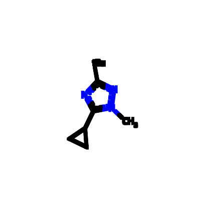 Cn1nc(C(C)(C)C)nc1C1CC1